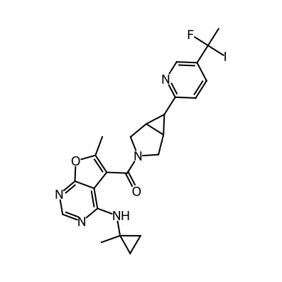 Cc1oc2ncnc(NC3(C)CC3)c2c1C(=O)N1CC2C(C1)C2c1ccc(C(C)(F)I)cn1